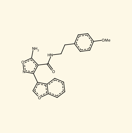 COc1ccc(CCNC(=O)c2c(-c3coc4ccccc34)noc2N)cc1